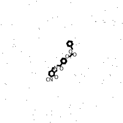 N#CC1C=CC2=CN(CC(=O)c3ccc(OCC(=O)OCc4ccccc4)cc3)CC2C1=O